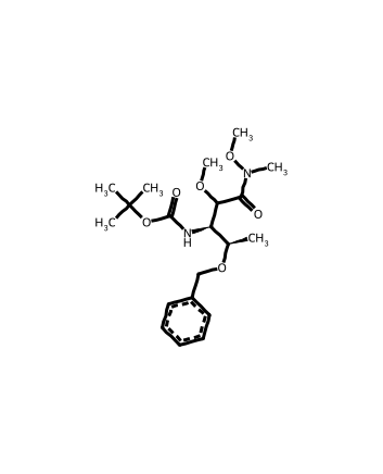 COC(C(=O)N(C)OC)[C@H](NC(=O)OC(C)(C)C)[C@@H](C)OCc1ccccc1